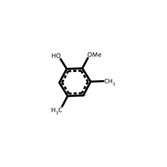 COc1c(C)[c]c(C)cc1O